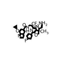 C[C@]1(C(=N)/C=C\N)COc2c1cc([C@@H](CNC(=O)c1cc(OC3CC3)c3ncccc3c1)C(F)(F)F)nc2-c1ccc(F)cc1